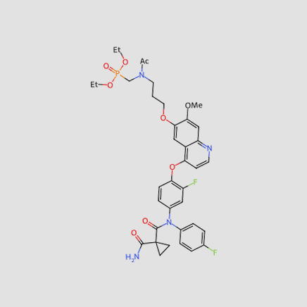 CCOP(=O)(CN(CCCOc1cc2c(Oc3ccc(N(C(=O)C4(C(N)=O)CC4)c4ccc(F)cc4)cc3F)ccnc2cc1OC)C(C)=O)OCC